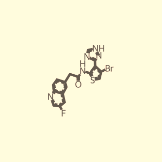 O=C(Cc1ccc2ncc(F)cc2c1)Nc1scc(Br)c1-c1nc[nH]n1